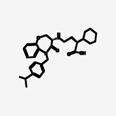 CC(C)c1ccc(CN2C(=O)[C@@H](NCC[C@H](C(=O)O)C3CCCCC3)COc3ccccc32)cc1